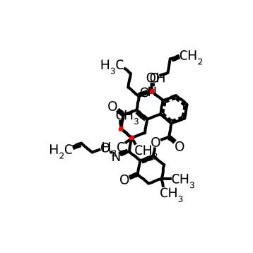 C=CCON=C(CCC)C1=C(OC(=O)c2cccc(C(=O)O)c2C2=C(C(CCC)=NOCC=C)C(=O)CC(C)(C)C2)CC(C)(C)CC1=O